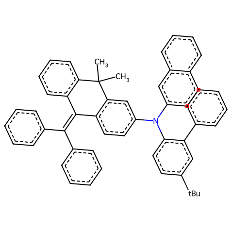 CC(C)(C)c1ccc(N(c2ccc3c(c2)C(C)(C)c2ccccc2C3=C(c2ccccc2)c2ccccc2)c2ccc3ccccc3c2)c(-c2ccccc2)c1